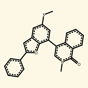 CSc1cc(-c2cn(C)c(=O)c3ccccc23)c2oc(-c3ccccc3)cc2c1